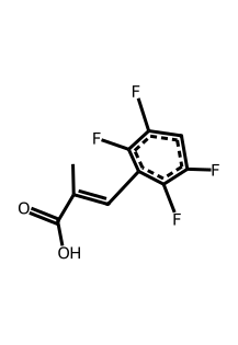 CC(=Cc1c(F)c(F)cc(F)c1F)C(=O)O